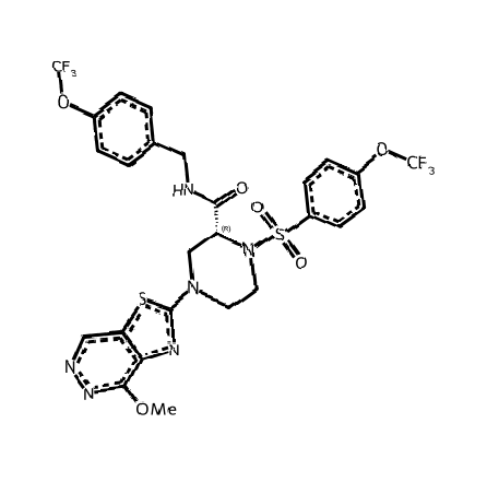 COc1nncc2sc(N3CCN(S(=O)(=O)c4ccc(OC(F)(F)F)cc4)[C@@H](C(=O)NCc4ccc(OC(F)(F)F)cc4)C3)nc12